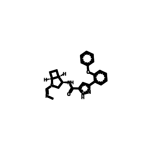 C/N=C\N1C[C@H](NC(=O)c2cc(-c3ccccc3Oc3ccccc3)n[nH]2)[C@@H]2CC[C@@H]21